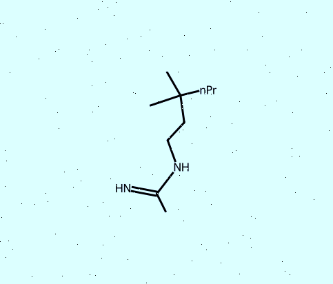 CCCC(C)(C)CCNC(C)=N